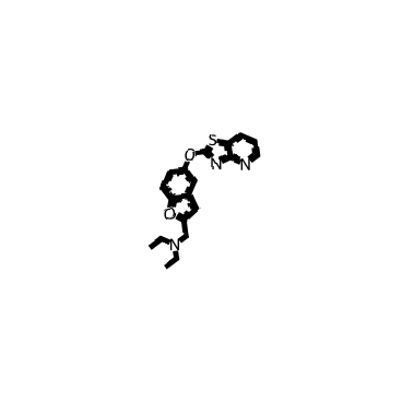 CCN(CC)Cc1cc2cc(Oc3nc4ncccc4s3)ccc2o1